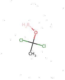 BOC(C)(Cl)Cl